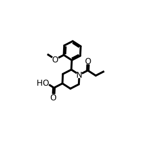 CCC(=O)N1CCC(C(=O)O)CC1c1ccccc1OC